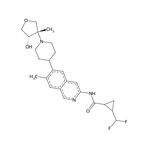 Cc1cc2cnc(NC(=O)C3CC3C(F)F)cc2cc1C1CCN([C@@]2(C)COC[C@H]2O)CC1